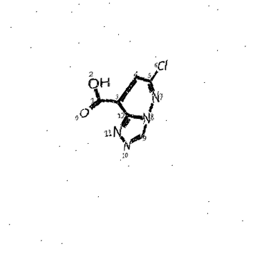 O=C(O)c1cc(Cl)nn2cnnc12